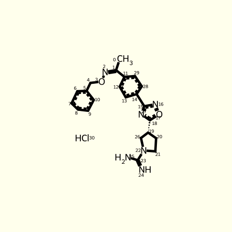 CC(=NOCc1ccccc1)c1ccc(-c2noc([C@@H]3CCN(C(=N)N)C3)n2)cc1.Cl